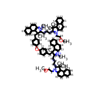 COCCN1/C(=C/C=C/C2=[N+](C)c3ccc4ccccc4c3C2(C)Cc2ccc(Oc3ccc(CC4(C)C(/C=C/C=C5/N(CCOC)c6ccc7ccccc7c6C5(C)C)=[N+](C)c5ccc6ccccc6c54)cc3)cc2)C(C)(C)c2c1ccc1ccccc21